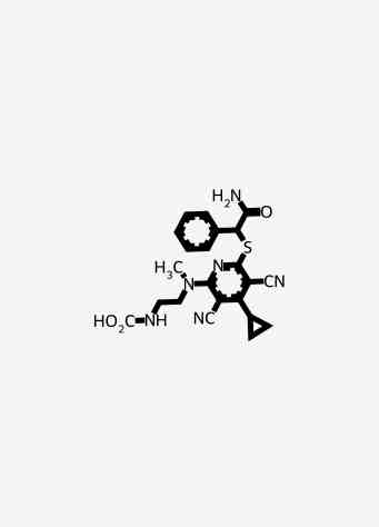 CN(CCNC(=O)O)c1nc(SC(C(N)=O)c2ccccc2)c(C#N)c(C2CC2)c1C#N